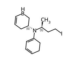 C[C@@H](CCI)N(C1=CC=CCC1)[C@H]1CBC=CC1